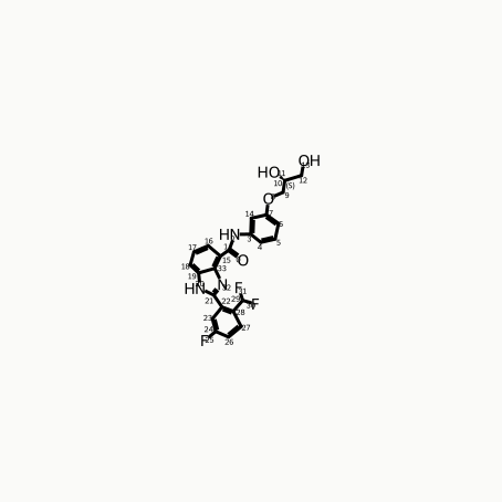 O=C(Nc1cccc(OC[C@@H](O)CO)c1)c1cccc2[nH]c(-c3cc(F)ccc3C(F)F)nc12